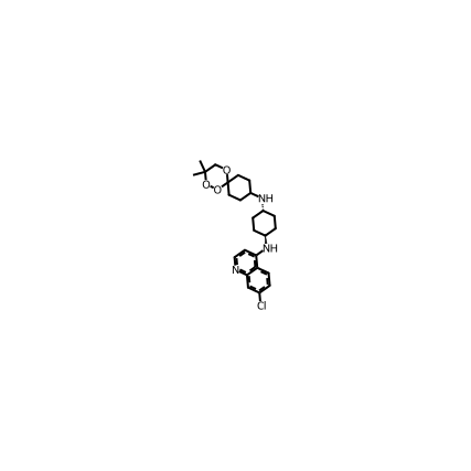 CC1(C)COC2(CCC(N[C@H]3CC[C@H](Nc4ccnc5cc(Cl)ccc45)CC3)CC2)OO1